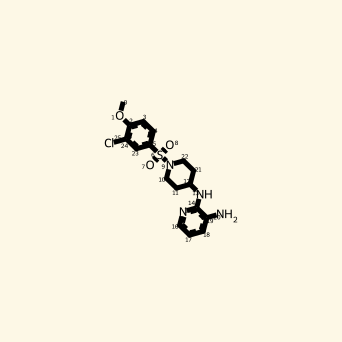 COc1ccc(S(=O)(=O)N2CCC(Nc3ncccc3N)CC2)cc1Cl